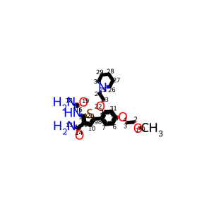 COCCOc1ccc(-c2cc(C(N)=O)c(NC(N)=O)s2)c(OCCN2CCCCC2)c1